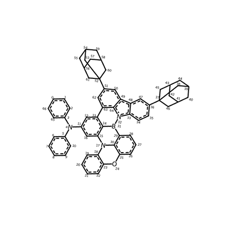 c1ccc(N(c2ccccc2)c2cc3c4c(c2)N2c5ccccc5Oc5cccc(c52)B4n2c4ccc(C56CC7CC(CC(C7)C5)C6)cc4c4cc(C56CC7CC(CC(C7)C5)C6)cc-3c42)cc1